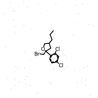 CCCC1COC(CBr)(c2ccc(Cl)cc2Cl)C1